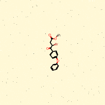 CC(C)OC(=O)CC(Br)C(=O)c1ccc(Oc2ccccc2)cc1